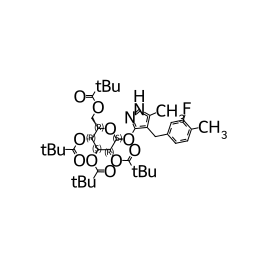 Cc1ccc(Cc2c(O[C@@H]3O[C@H](COC(=O)C(C)(C)C)[C@@H](OC(=O)C(C)(C)C)[C@H](OC(=O)C(C)(C)C)[C@H]3OC(=O)C(C)(C)C)n[nH]c2C)cc1F